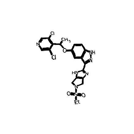 CCS(=O)(=O)N1Cc2nc(-c3n[nH]c4ccc(OC(C)c5c(Cl)cncc5Cl)cc34)[nH]c2C1